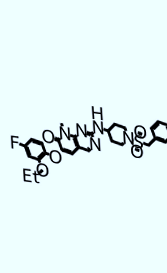 CCOc1cc(F)ccc1Oc1cc2cnc(NC3CCN(S(=O)(=O)Cc4ccccc4)CC3)nc2n(C)c1=O